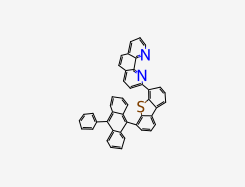 c1ccc(-c2c3ccccc3c(-c3cccc4c3sc3c(-c5ccc6ccc7cccnc7c6n5)cccc34)c3ccccc23)cc1